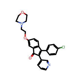 O=C1C(c2cccnc2)=C(c2ccc(Cl)cc2)c2ccc(OCCN3CCOCC3)cc21